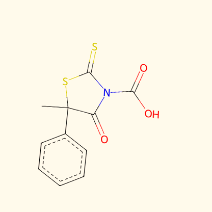 CC1(c2ccccc2)SC(=S)N(C(=O)O)C1=O